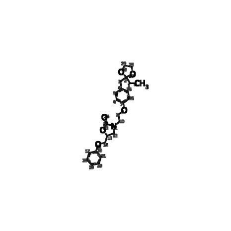 CCC1(Cc2ccc(OCCN3CC(COc4ccccc4)OC3=O)cc2)OCCO1